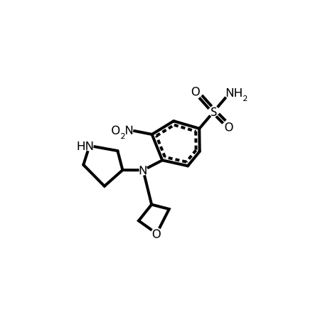 NS(=O)(=O)c1ccc(N(C2CCNC2)C2COC2)c([N+](=O)[O-])c1